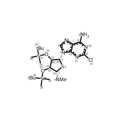 CN[C@H]1S[C@@H](n2cnc3c(N)nc(Cl)nc32)[C@H](O[Si](C)(C)C(C)(C)C)[C@@H]1O[Si](C)(C)C(C)(C)C